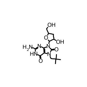 CC(C)(C)Cn1c(=O)n(C2OC(CO)CC2O)c2nc(N)[nH]c(=O)c21